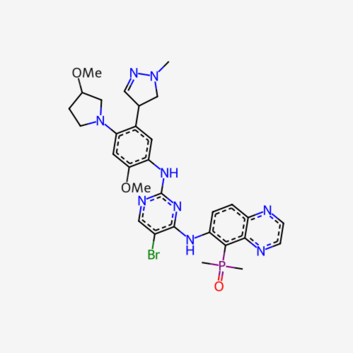 COc1cc(N2CCC(OC)C2)c(C2C=NN(C)C2)cc1Nc1ncc(Br)c(Nc2ccc3nccnc3c2P(C)(C)=O)n1